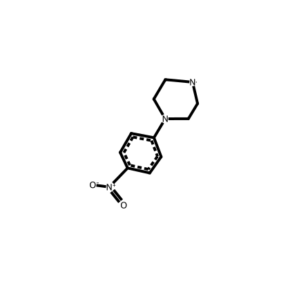 O=[N+]([O-])c1ccc(N2CC[N]CC2)cc1